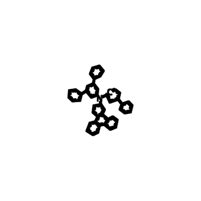 c1ccc(-c2cccc(N(c3cc(-c4ccccc4)cc(-c4ccccc4)c3)c3ccc4c5ccccc5c5ccccc5c4c3)c2)cc1